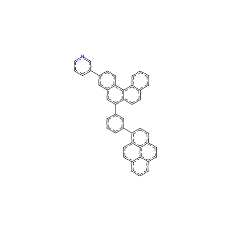 c1cncc(-c2ccc3c(c2)cc(-c2cccc(-c4ccc5ccc6cccc7ccc4c5c67)c2)c2ccc4ccccc4c23)c1